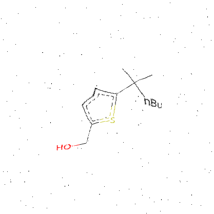 CCCCC(C)(C)c1ccc(CO)s1